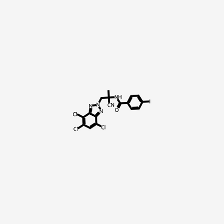 CC(C#N)(Cn1nc2c(Cl)cc(Cl)c(Cl)c2n1)NC(=O)c1ccc(I)cc1